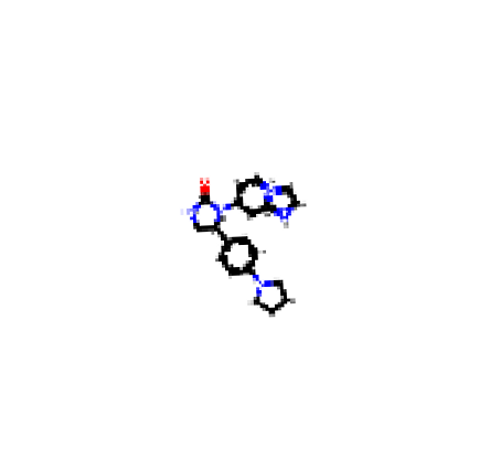 O=C1NCC(c2ccc(N3CCCC3)cc2)N1c1ccn2ccnc2c1